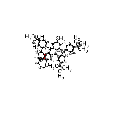 Cc1cc2c3c(c1)N(c1ccc(C(C)(C)C)cc1-c1ccccc1)c1cc4c(cc1B3c1cc(C(C)(C)C)ccc1N2c1ccc(C(C)(C)C)cc1)OCCCO4